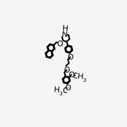 COc1ccc(COCCCOc2ccc(C3CCNCC3OCc3ccc4ccccc4c3)cc2)c(OC)c1